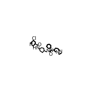 Cc1ncc(Cl)cc1C(=O)NC1CCC(Cn2c(=O)n(-c3ccc4nccn4c3)c3ccccc32)CC1